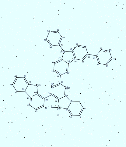 C[Si]1(C)c2ccccc2-c2nc(-c3ccc4c(c3)c3cc(-c5ccccc5)ccc3n4-c3ccccc3)nc(-c3cccc4c3sc3ccccc34)c21